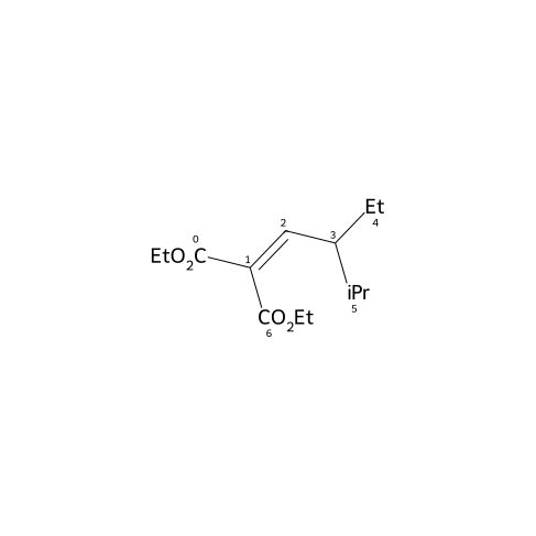 CCOC(=O)C(=CC(CC)C(C)C)C(=O)OCC